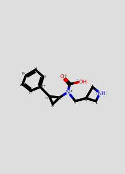 O=C(O)N(CC1CNC1)C1CC1c1ccccc1